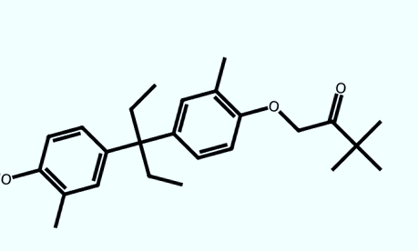 CCC(CC)(c1ccc(O)c(C)c1)c1ccc(OCC(=O)C(C)(C)C)c(C)c1